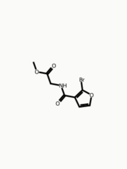 COC(=O)CNC(=O)c1ccoc1Br